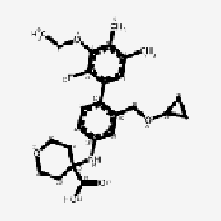 CCOc1c(C)c(C)cc(-c2ccc(NC3(C(=O)O)CCOCC3)cc2COC2CC2)c1F